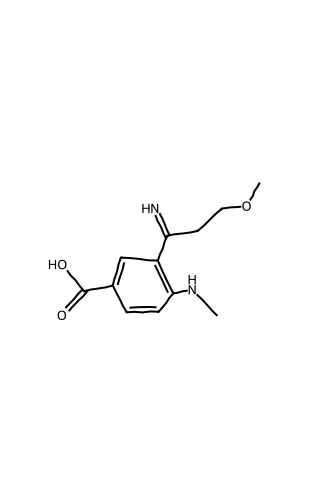 CNc1ccc(C(=O)O)cc1C(=N)CCOC